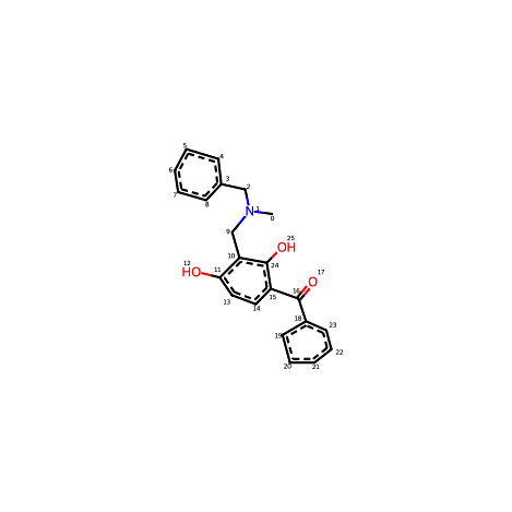 CN(Cc1ccccc1)Cc1c(O)ccc(C(=O)c2ccccc2)c1O